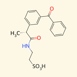 C[C@@H](C(=O)NCCS(=O)(=O)O)c1cccc(C(=O)c2ccccc2)c1